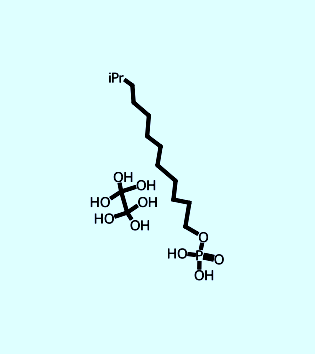 CC(C)CCCCCCCCCCOP(=O)(O)O.OC(O)(O)C(O)(O)O